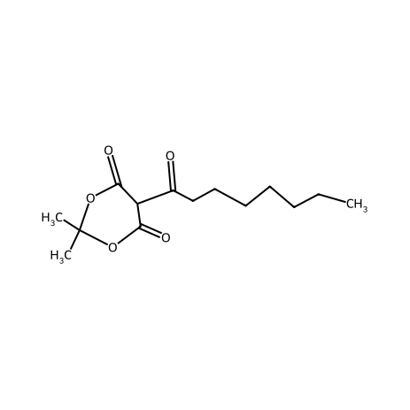 CCCCCCCC(=O)C1C(=O)OC(C)(C)OC1=O